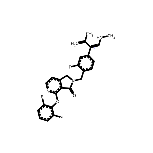 C=C(C)/C(=C\NC)c1ccc(CN2Cc3ccnc(Oc4c(F)cccc4F)c3C2=O)c(F)c1